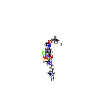 Cc1cn(CCCC2CNC(C)(C)C2)nc1S(=O)(=O)NC(=O)c1ccc(-n2ccc(OCCC3(C(F)(F)F)CC3)n2)nc1Cl